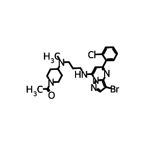 CC(=O)N1CCC(N(C)CCCNc2cc(-c3ccccc3Cl)nc3c(Br)cnn23)CC1